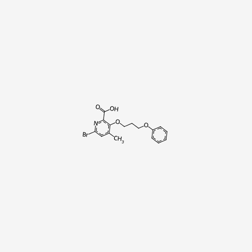 Cc1cc(Br)nc(C(=O)O)c1OCCCOc1ccccc1